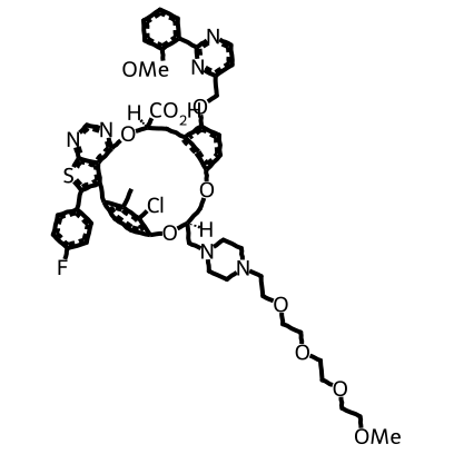 COCCOCCOCCOCCN1CCN(C[C@@H]2COc3ccc(OCc4ccnc(-c5ccccc5OC)n4)c(c3)C[C@H](C(=O)O)Oc3ncnc4sc(-c5ccc(F)cc5)c(c34)-c3ccc(c(Cl)c3C)O2)CC1